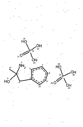 CC(N)(O)Cc1ccccc1.O=P(O)(O)O.O=P(O)(O)O